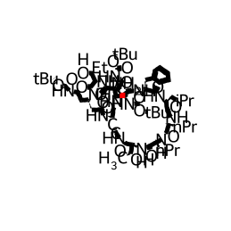 CCC[C@@H]1NC(=O)[C@H](CC(C)C)NC(=O)[C@@H](Cc2ccccc2)NC(=O)[C@H](CCNC(=O)OC(C)(C)C)NC(=O)[C@@H](NC(=O)C[C@H](CCNC(=O)OC(C)(C)C)NC(=O)[C@@H](NC(=O)[C@@H](N)CCNC(=O)OC(C)(C)C)[C@H](O)CC)CCNC(=O)[C@H]([C@@H](C)O)NC(=O)[C@H](CCC)NC1=O